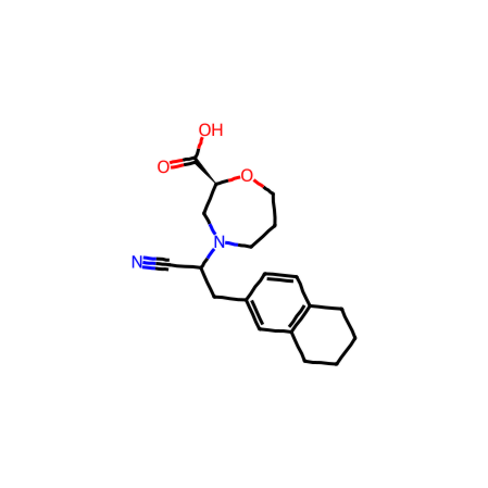 N#CC(Cc1ccc2c(c1)CCCC2)N1CCCO[C@H](C(=O)O)C1